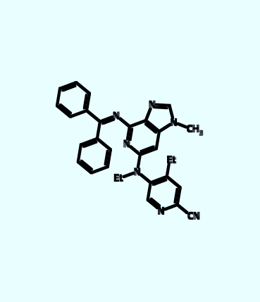 CCc1cc(C#N)ncc1N(CC)c1cc2c(ncn2C)c(N=C(c2ccccc2)c2ccccc2)n1